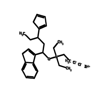 CCC(CC(O[Si](CC)(CC)CC)C1=CCc2ccccc21)C1=CC=CC1.[Cl-].[Cl-].[Zr+2]